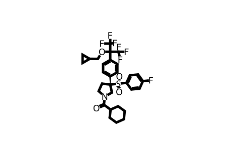 O=C(C1CCCCC1)N1CC[C@](c2ccc(C(OCC3CC3)(C(F)(F)F)C(F)(F)F)cc2)(S(=O)(=O)c2ccc(F)cc2)C1